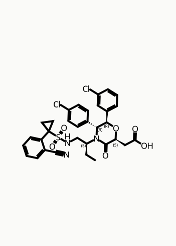 CC[C@@H](CNS(=O)(=O)C1(c2ccccc2C#N)CC1)N1C(=O)[C@H](CC(=O)O)O[C@H](c2cccc(Cl)c2)[C@H]1c1ccc(Cl)cc1